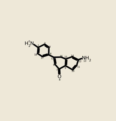 Nc1ccc(C2=CC(=O)c3ccc(N)cc3C2)cc1